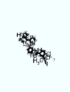 CC(C)(C#N)c1cc(C(=O)Nc2cc(Nc3ncccc3-c3ncnc4[nH]ccc34)ccc2F)ccc1Cl